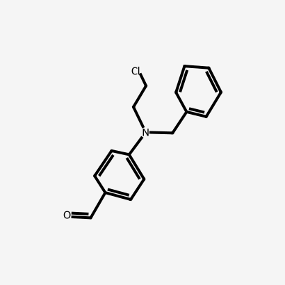 O=Cc1ccc(N(CCCl)Cc2ccccc2)cc1